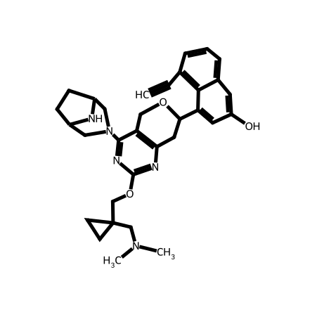 C#Cc1cccc2cc(O)cc(C3Cc4nc(OCC5(CN(C)C)CC5)nc(N5CC6CCC(C5)N6)c4CO3)c12